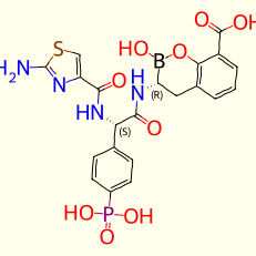 Nc1nc(C(=O)N[C@H](C(=O)N[C@H]2Cc3cccc(C(=O)O)c3OB2O)c2ccc(P(=O)(O)O)cc2)cs1